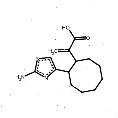 C=C(C(=O)O)C1CCCCCCC1c1csc(N)n1